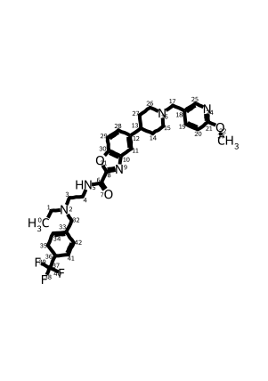 CCN(CCNC(=O)c1nc2cc(C3CCN(Cc4ccc(OC)nc4)CC3)ccc2o1)CC1=CCC(C(F)(F)F)C=C1